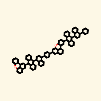 c1ccc(-c2ccc(-c3c4ccccc4c(-c4ccc5c(c4)-c4cccc6cc(-c7ccc(-c8ccc(-c9c%10ccccc%10c(-c%10cc%11c%12c(cccc%12c%10)Oc%10ccccc%10-%11)c%10ccccc9%10)c9ccccc89)cc7)cc(c46)O5)c4ccccc34)c3ccccc23)cc1